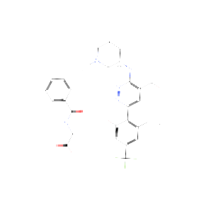 Cc1cc(C(F)(F)F)cc(O)c1-c1cc(CO)c(N[C@@H]2CCCN(C)C2)nn1.O=C(O)CNC(=O)c1ccccc1